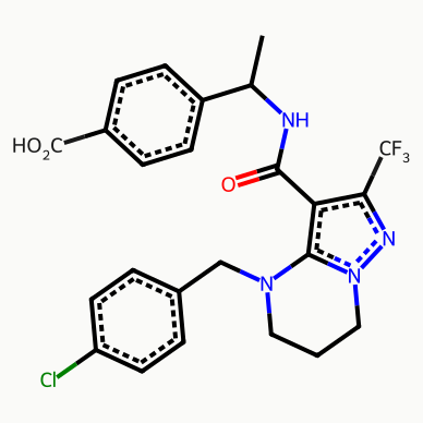 CC(NC(=O)c1c(C(F)(F)F)nn2c1N(Cc1ccc(Cl)cc1)CCC2)c1ccc(C(=O)O)cc1